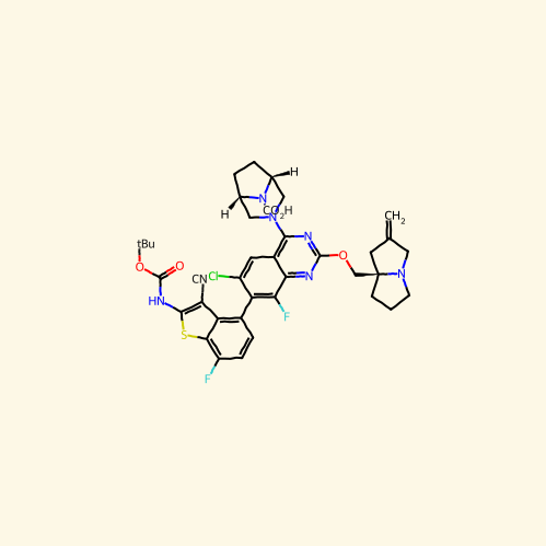 C=C1CN2CCC[C@]2(COc2nc(N3C[C@H]4CC[C@@H](C3)N4C(=O)O)c3cc(Cl)c(-c4ccc(F)c5sc(NC(=O)OC(C)(C)C)c(C#N)c45)c(F)c3n2)C1